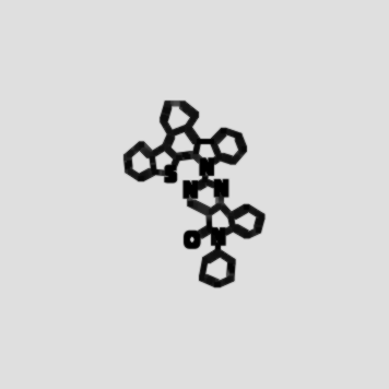 O=c1c2cnc(-n3c4ccccc4c4c5ccccc5c5c6ccccc6sc5c43)nc2c2ccccc2n1-c1ccccc1